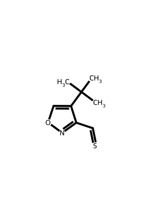 CC(C)(C)c1conc1C=S